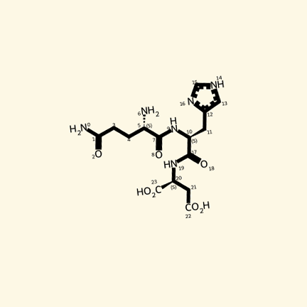 NC(=O)CC[C@H](N)C(=O)N[C@@H](Cc1c[nH]cn1)C(=O)N[C@@H](CC(=O)O)C(=O)O